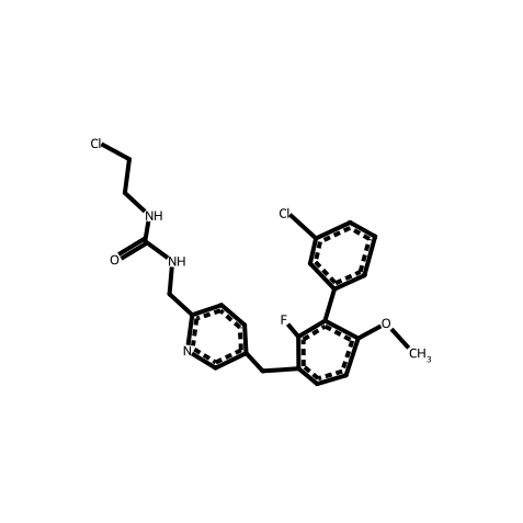 COc1ccc(Cc2ccc(CNC(=O)NCCCl)nc2)c(F)c1-c1cccc(Cl)c1